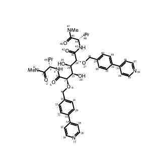 CNC(=O)[C@@H](NC(=O)[C@H](OCc1ccc(-c2ccncc2)cc1)[C@H](O)[C@@H](O)[C@@H](OCc1ccc(-c2ccncc2)cc1)C(=O)N[C@H](C(=O)NC)C(C)C)C(C)C